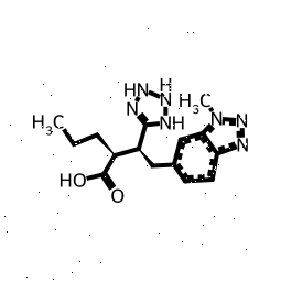 CCC[C@H](C(=O)O)[C@H](Cc1ccc2nnn(C)c2c1)C1=NNNN1